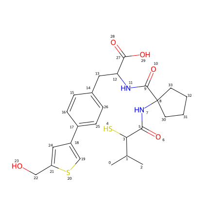 CC(C)C(S)C(=O)NC1(C(=O)NC(Cc2ccc(-c3csc(CO)c3)cc2)C(=O)O)CCCC1